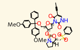 CC#Cc1c[nH]c(=O)n([C@H]2C[C@H](O[P@@]3O[C@H](CS(=O)(=O)c4ccccc4)[C@@H]4CCCN43)[C@@H](COC(c3ccccc3)(c3ccc(OC)cc3)c3ccc(OC)cc3)O2)c1=O